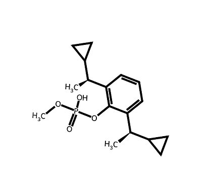 COP(=O)(O)Oc1c([C@@H](C)C2CC2)cccc1[C@H](C)C1CC1